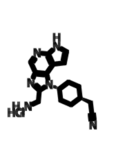 Cl.N#CC[C@H]1CC[C@H](n2c(CN)nc3cnc4[nH]ccc4c32)CC1